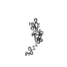 CC(C)OC(=O)CCCCO[P@]1(=O)OC[C@H]2O[C@@H](n3ccc(=O)[nH]c3=O)[C@](C)(Cl)[C@@H]2O1